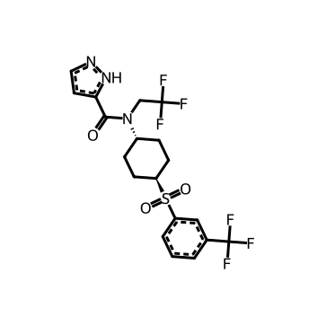 O=C(c1ccn[nH]1)N(CC(F)(F)F)[C@H]1CC[C@H](S(=O)(=O)c2cccc(C(F)(F)F)c2)CC1